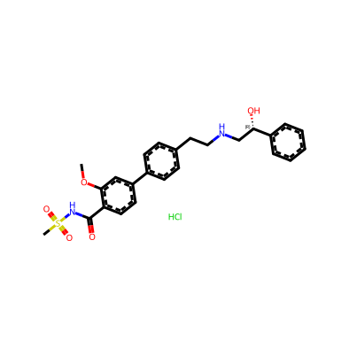 COc1cc(-c2ccc(CCNC[C@H](O)c3ccccc3)cc2)ccc1C(=O)NS(C)(=O)=O.Cl